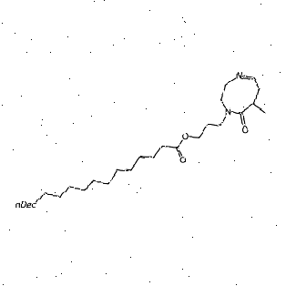 CCCCCCCCCCCCCCCCCCCCCC(=O)OCCCN1CC/N=C\CC(C)C1=O